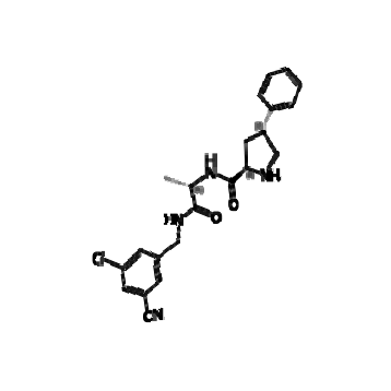 C[C@H](NC(=O)[C@H]1C[C@H](c2ccccc2)CN1)C(=O)NCc1cc(Cl)cc(C#N)c1